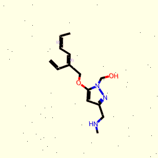 C=C/C(=C\C=C/C)COc1cc(CNC)nn1CO